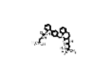 C[C@@H](O)CNC(=O)Nc1ccccc1-c1ccc(CN2C(=O)[C@H](NC(=O)CC(C)(C)N)CCc3ccccc32)cc1